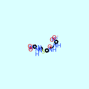 O=C(CCNc1cccc([N+](=O)[O-])c1)Nc1ccc(Sc2ccnc(Nc3cccc([N+](=O)[O-])c3)n2)cc1